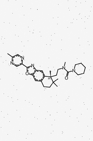 Cc1cnc(-c2nc3cc4c(cc3o2)CCC(C)(C)[C@@]4(C)CCN(C)C(=O)N2CCCCC2)cn1